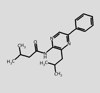 CC(C)CC(=O)Nc1ncc(-c2ccccc2)nc1CC(C)C